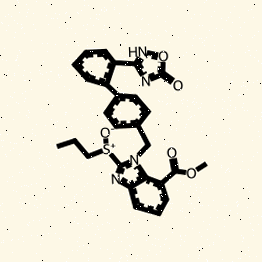 CCC[S+]([O-])c1nc2cccc(C(=O)OC)c2n1Cc1ccc(-c2ccccc2-c2nc(=O)o[nH]2)cc1